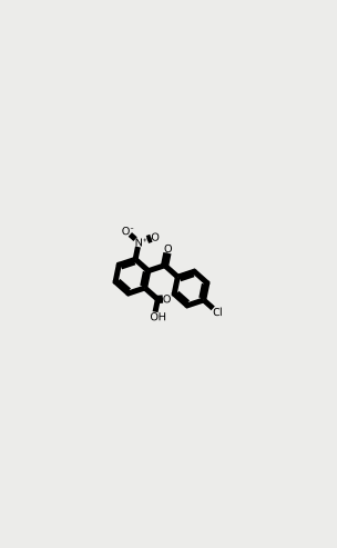 O=C(O)c1cccc([N+](=O)[O-])c1C(=O)c1ccc(Cl)cc1